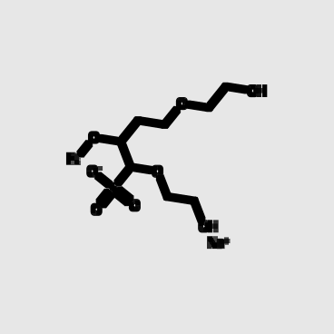 CCOC(CCOCCO)C(OCCO)S(=O)(=O)[O-].[Na+]